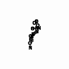 COCCn1c(CN2CC3=C(C2)CN(c2cccc(OCc4ccc(C#N)cc4F)n2)C3)nc2ccc(C(=O)OC)cc21